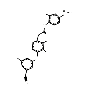 Cc1cc(S(N)(=O)=O)ccc1NC(=O)Cc1ccc(Oc2cc(Cl)cc(C#N)c2)c(C)c1C